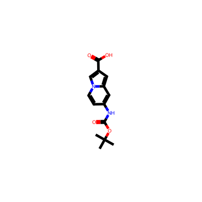 CC(C)(C)OC(=O)Nc1ccn2cc(C(=O)O)cc2c1